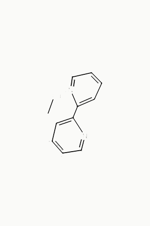 [CH3][Cu].c1ccc(-c2ccccn2)nc1